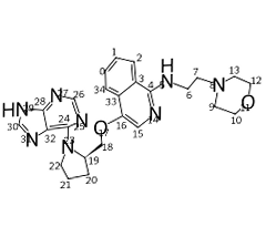 c1ccc2c(NCCN3CCOCC3)ncc(OC[C@H]3CCCN3c3ncnc4[nH]cnc34)c2c1